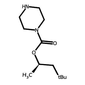 C[C@H](CC(C)(C)C)OC(=O)N1CCNCC1